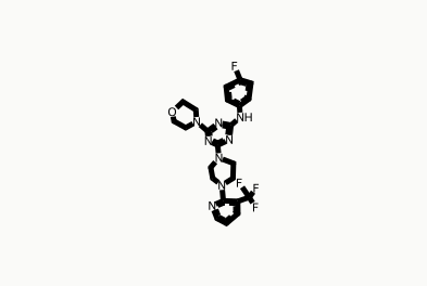 Fc1ccc(Nc2nc(N3CCOCC3)nc(N3CCN(c4ncccc4C(F)(F)F)CC3)n2)cc1